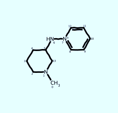 CN1CCCC(N[n+]2ccccc2)C1